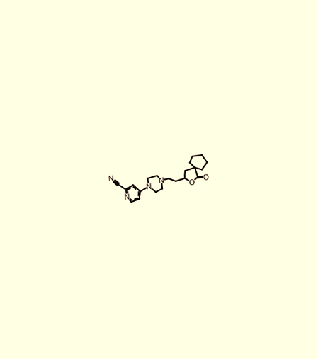 N#Cc1cc(N2CCN(CCC3CC4(CCCCC4)C(=O)O3)CC2)ccn1